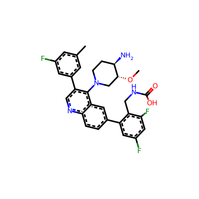 CO[C@@H]1CN(c2c(-c3cc(C)cc(F)c3)cnc3ccc(-c4cc(F)cc(F)c4CNC(=O)O)cc23)CC[C@H]1N